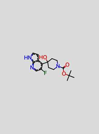 CC(C)(C)OC(=O)N1CCC(O)(c2c(F)cnc3[nH]ccc23)CC1